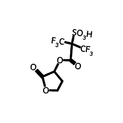 O=C1OCCC1OC(=O)C(C(F)(F)F)(C(F)(F)F)S(=O)(=O)O